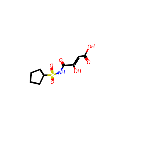 O=C(O)/C=C(\O)C(=O)NS(=O)(=O)C1CCCC1